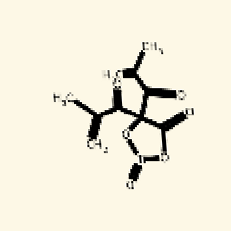 C=C(C)C(=O)C1(C(=O)C(=C)C)[O][Ti](=[O])[O]C1=O